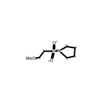 COCCS(=O)(=O)N1CCCC1